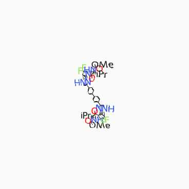 COC(=O)N[C@H](C(=O)C1CC(F)(F)C[C@H]1c1nc(-c2ccc(-c3ccc(-c4c[nH]c([C@@H]5CC(F)(F)CN5C(=O)[C@@H](NC(=O)OC)C(C)C)n4)cc3)cc2)c[nH]1)C(C)C